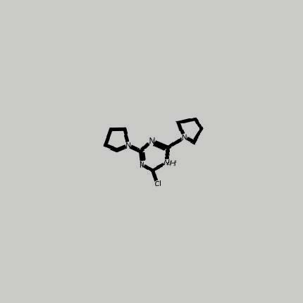 ClC1N=C(N2CCCC2)N=C(N2CCCC2)N1